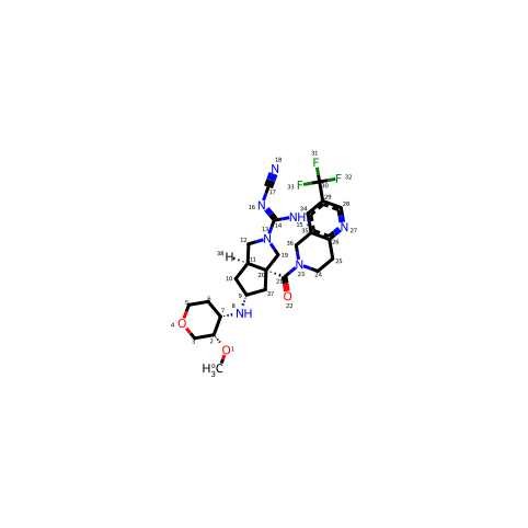 CO[C@@H]1COCC[C@@H]1N[C@@H]1C[C@H]2CN(/C(N)=N/C#N)C[C@@]2(C(=O)N2CCc3ncc(C(F)(F)F)cc3C2)C1